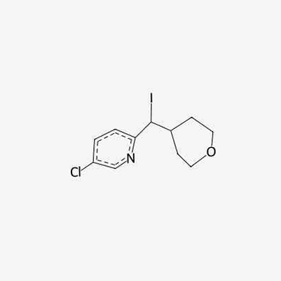 Clc1ccc(C(I)C2CCOCC2)nc1